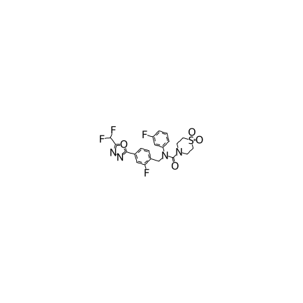 O=C(N1CCS(=O)(=O)CC1)N(Cc1ccc(-c2nnc(C(F)F)o2)cc1F)c1cccc(F)c1